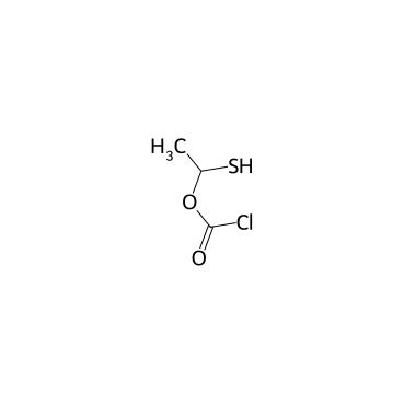 CC(S)OC(=O)Cl